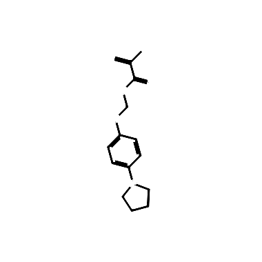 C=C(C)C(=O)OCOc1ccc([S+]2CCCC2)cc1